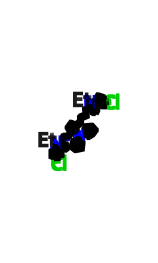 CCN1/C(=C/C=C/C=C2\CCC(/C=C/C3=[N+](CC)c4ccc(Cl)cc4C3(C)C)=C2N(c2ccccc2)c2ccccc2)C(C)(C)c2cc(Cl)ccc21